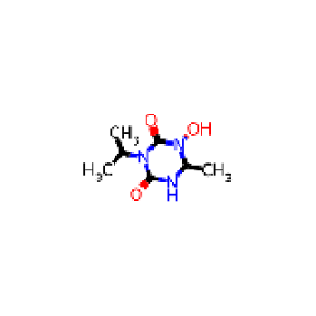 CC1NC(=O)N(C(C)C)C(=O)N1O